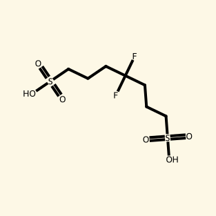 O=S(=O)(O)CCCC(F)(F)CCCS(=O)(=O)O